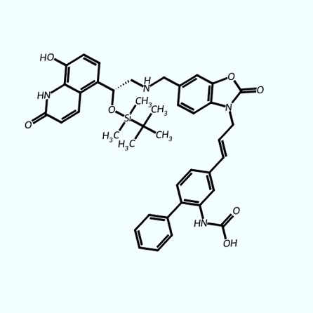 CC(C)(C)[Si](C)(C)O[C@@H](CNCc1ccc2c(c1)oc(=O)n2CC=Cc1ccc(-c2ccccc2)c(NC(=O)O)c1)c1ccc(O)c2[nH]c(=O)ccc12